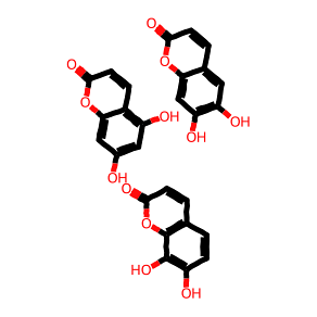 O=c1ccc2c(O)cc(O)cc2o1.O=c1ccc2cc(O)c(O)cc2o1.O=c1ccc2ccc(O)c(O)c2o1